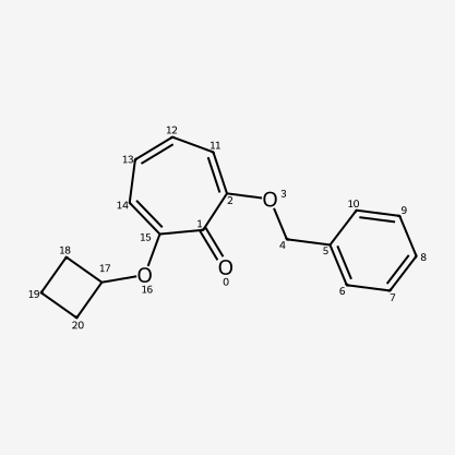 O=c1c(OCc2ccccc2)ccccc1OC1CCC1